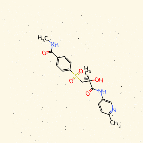 CNC(=O)c1ccc(S(=O)(=O)C[C@](C)(O)C(=O)Nc2ccc(C)nc2)cc1